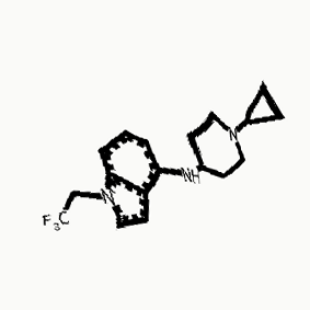 FC(F)(F)Cn1ccc2c(NC3CCN(C4CC4)CC3)cccc21